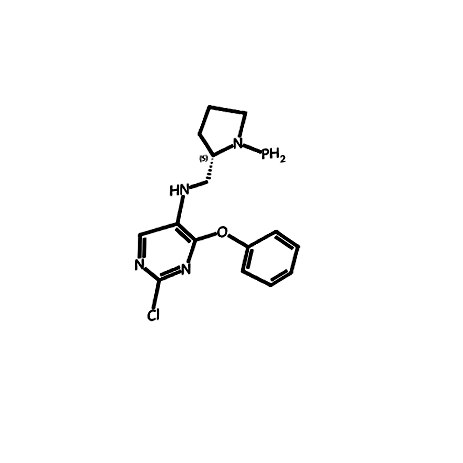 PN1CCC[C@H]1CNc1cnc(Cl)nc1Oc1ccccc1